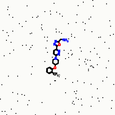 NCc1nnc(-c2ccc(N3CCC(Oc4ccccc4C(F)(F)F)CC3)nn2)o1